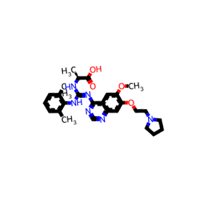 COc1cc2c(N=C(Nc3c(C)cccc3C)N[C@@H](C)C(=O)O)ncnc2cc1OCCN1CCCC1